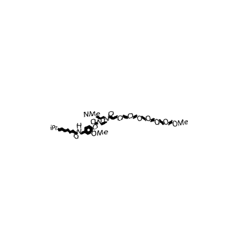 CNCC1CN(C(=O)CCOCCOCCOCCOCCOCCOCCOC)CCN1C(=O)Oc1ccc(CNC(=O)CCCC/C=C/C(C)C)cc1OC